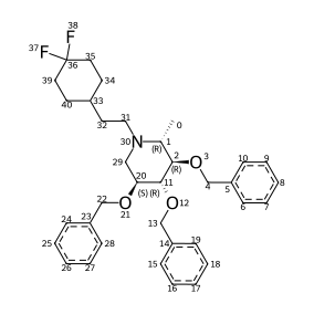 C[C@@H]1[C@@H](OCc2ccccc2)[C@H](OCc2ccccc2)[C@@H](OCc2ccccc2)CN1CCC1CCC(F)(F)CC1